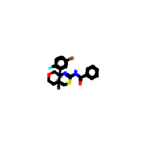 O=C(NC1=N[C@@]2(c3cc(Br)ccc3F)COCC[C@H]2CS1)c1ccccc1